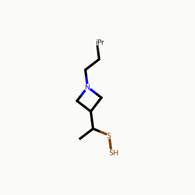 CC(C)CCN1CC(C(C)SS)C1